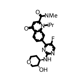 CNC(=O)c1cc(=O)c2ccc(-c3nc(N[C@@H]4CCOC[C@H]4O)ncc3F)cc2n1C(C)C